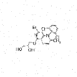 CCc1cc2c(c(OCC(O)CO)n1)C=CC(C)N2c1c(Cl)cccc1Cl